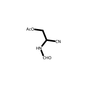 CC(=O)OCC(C#N)NC=O